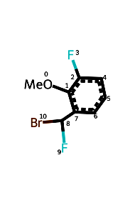 COc1c(F)cccc1C(F)Br